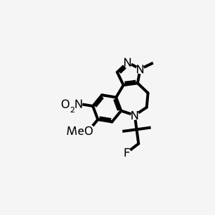 COc1cc2c(cc1[N+](=O)[O-])-c1cnn(C)c1CCN2C(C)(C)CF